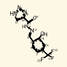 O=C(NN=Cc1ccc(C(F)(F)F)cc1O)c1c[nH]nn1